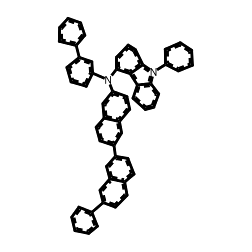 c1ccc(-c2cccc(N(c3ccc4cc(-c5ccc6ccc(-c7ccccc7)cc6c5)ccc4c3)c3cccc4c3c3ccccc3n4-c3ccccc3)c2)cc1